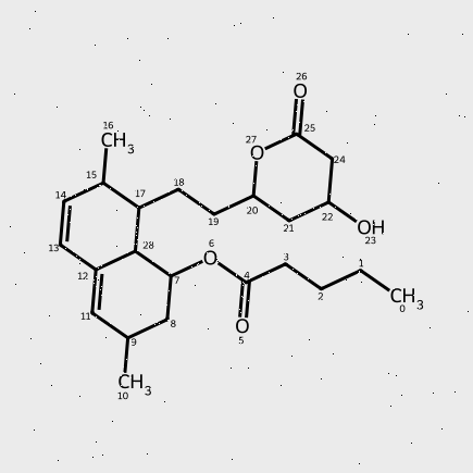 CCCCC(=O)OC1CC(C)C=C2C=CC(C)C(CCC3CC(O)CC(=O)O3)C21